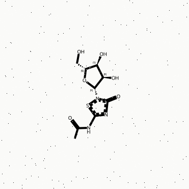 CC(=O)Nc1nc(=O)n([C@@H]2O[C@H](CO)[C@@H](O)[C@H]2O)s1